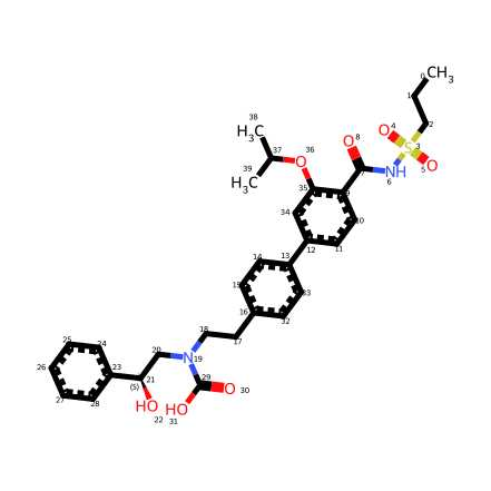 CCCS(=O)(=O)NC(=O)c1ccc(-c2ccc(CCN(C[C@@H](O)c3ccccc3)C(=O)O)cc2)cc1OC(C)C